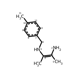 CC(N)=C(C)NCc1ccc(C)cc1